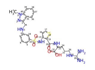 Cn1nc(CNc2cccc(S(=O)(=O)Nc3ccsc3C(=O)N[C@@H](CCCNC(N)N)C(=O)O)c2)c2ccccc21